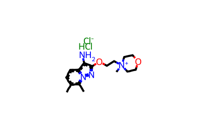 Cc1ccc2c(N)c(OCC[N+]3(C)CCOCC3)nn2c1C.Cl.[Cl-]